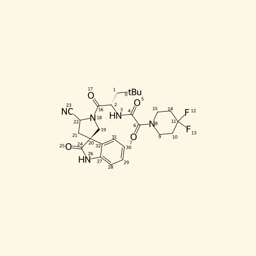 CC(C)(C)C[C@H](NC(=O)C(=O)N1CCC(F)(F)CC1)C(=O)N1C[C@]2(CC1C#N)C(=O)Nc1ccccc12